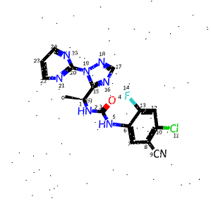 C[C@H](NC(=O)Nc1cc(C#N)c(Cl)cc1F)c1ncnn1-c1ncccn1